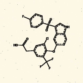 O=C(O)Cc1cc(Cl)c(Oc2ccc3[nH]cc(S(=O)(=O)c4ccc(F)cc4)c3c2)c(C(F)(F)F)c1